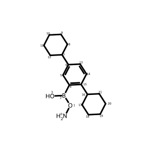 NOB(O)c1cc(C2CCCCC2)ccc1C1CCCCC1